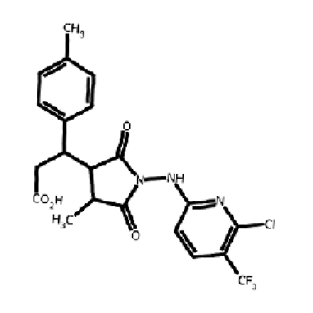 Cc1ccc(C(CC(=O)O)C2C(=O)N(Nc3ccc(C(F)(F)F)c(Cl)n3)C(=O)C2C)cc1